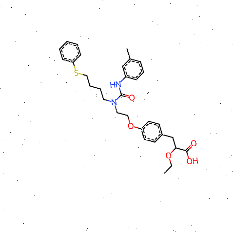 CCOC(Cc1ccc(OCCN(CCCCSc2ccccc2)C(=O)Nc2cccc(C)c2)cc1)C(=O)O